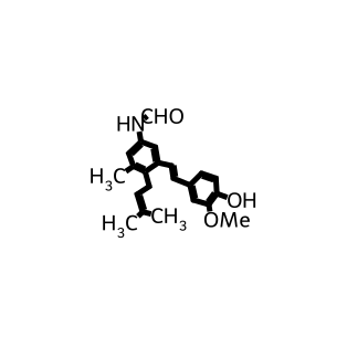 COc1cc(/C=C/c2cc(NC=O)cc(C)c2CC=C(C)C)ccc1O